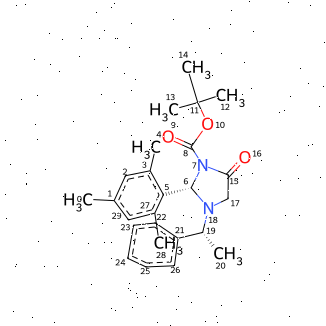 Cc1cc(C)c([C@@H]2N(C(=O)OC(C)(C)C)C(=O)CN2[C@H](C)c2ccccc2)c(C)c1